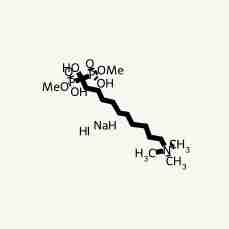 COP(=O)(O)C(O)(CCCCCCCCCC[N+](C)(C)C)P(=O)(O)OC.I.[NaH]